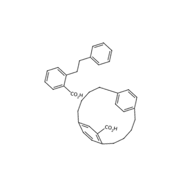 O=C(O)c1cc2ccc1CCCCc1ccc(cc1)CCCC2.O=C(O)c1ccccc1CCc1ccccc1